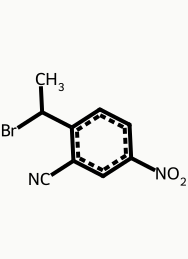 CC(Br)c1ccc([N+](=O)[O-])cc1C#N